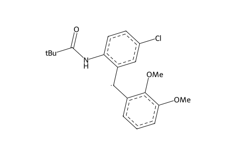 COc1cccc([CH]c2cc(Cl)ccc2NC(=O)C(C)(C)C)c1OC